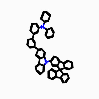 c1ccc(N(c2ccccc2)c2cccc(-c3cccc(-c4ccc5c(c4)c4ccccc4n5-c4ccc5c(c4)C4(c6ccccc6-c6ccccc64)c4ccccc4-5)c3)c2)cc1